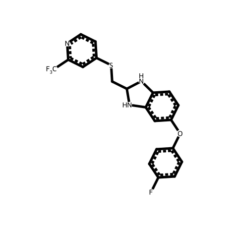 Fc1ccc(Oc2ccc3c(c2)NC(CSc2ccnc(C(F)(F)F)c2)N3)cc1